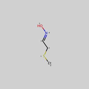 CCSC/C=N/O